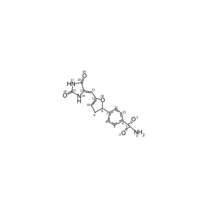 NS(=O)(=O)c1ccc(C2CC=C(/C=C3\NC(=O)NC3=O)O2)cc1